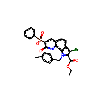 CCOC(=O)c1c(Br)c2ccc3cc(S(=O)(=O)c4ccccc4)c(=O)[nH]c3c2n1Cc1ccc(C)cc1